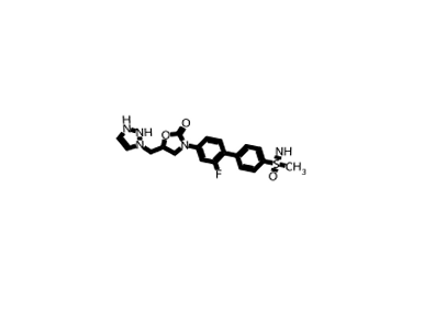 CS(=N)(=O)c1ccc(-c2ccc(N3CC(CN4C=CNN4)OC3=O)cc2F)cc1